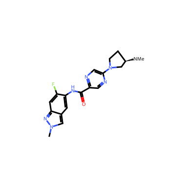 CN[C@@H]1CCN(c2cnc(C(=O)Nc3cc4cn(C)nc4cc3F)cn2)C1